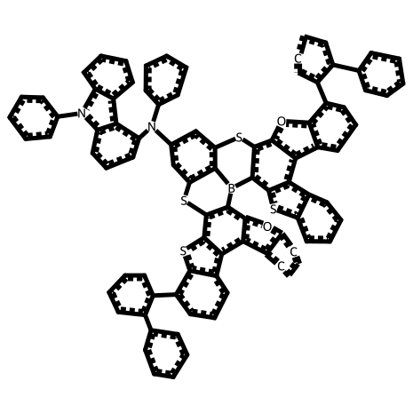 c1ccc(-c2ccccc2-c2cccc3c2oc2c4c(c5sc6ccccc6c5c23)B2c3c(cc(N(c5ccccc5)c5cccc6c5c5ccccc5n6-c5ccccc5)cc3Sc3c2c2oc5ccccc5c2c2c3sc3c(-c5ccccc5-c5ccccc5)cccc32)S4)cc1